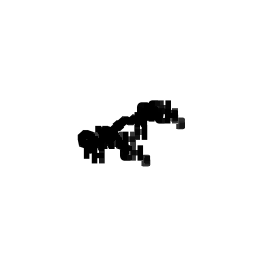 CCCNc1nc(Nc2ccccc2F)ncc1C#CCCCNC(=O)CN(C)C